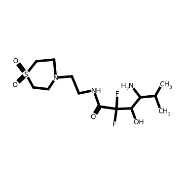 CC(C)C(N)C(O)C(F)(F)C(=O)NCCN1CCS(=O)(=O)CC1